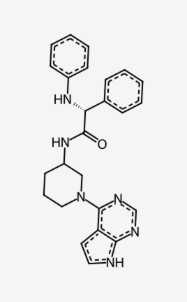 O=C(NC1CCCN(c2ncnc3[nH]ccc23)C1)[C@H](Nc1ccccc1)c1ccccc1